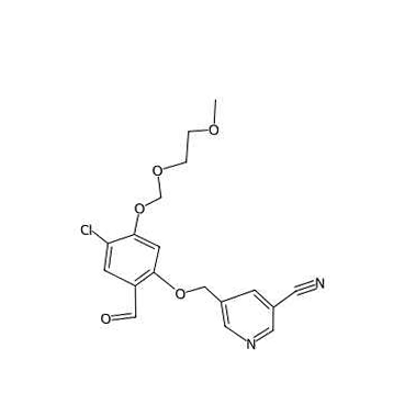 COCCOCOc1cc(OCc2cncc(C#N)c2)c(C=O)cc1Cl